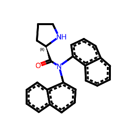 O=C([C@H]1CCCN1)N(c1cccc2ccccc12)c1cccc2ccccc12